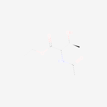 CCOC(=O)C(NC(C)=O)[C@H](C)O